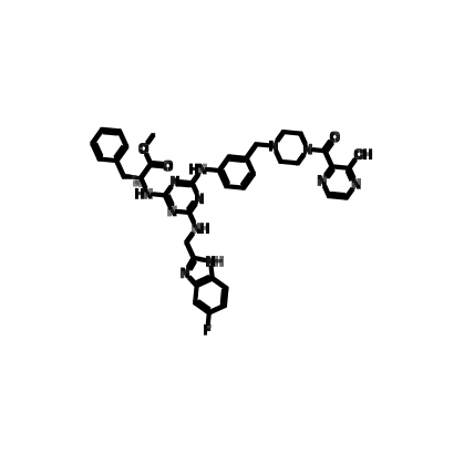 COC(=O)[C@H](Cc1ccccc1)Nc1nc(NCc2nc3cc(F)ccc3[nH]2)nc(Nc2cccc(CN3CCN(C(=O)c4nccnc4O)CC3)c2)n1